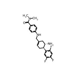 CN(C)C(=O)c1ccc(NCC2=CC[C@H](c3cc(F)c(F)cc3F)[C@@H](N)C2)cc1